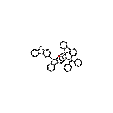 c1ccc([Si](c2ccccc2)(c2ccccc2)c2cccc3c4ccccc4n(-c4ccc5c6ccccc6n(-c6ccc7oc8ccccc8c7c6)c5c4)c23)cc1